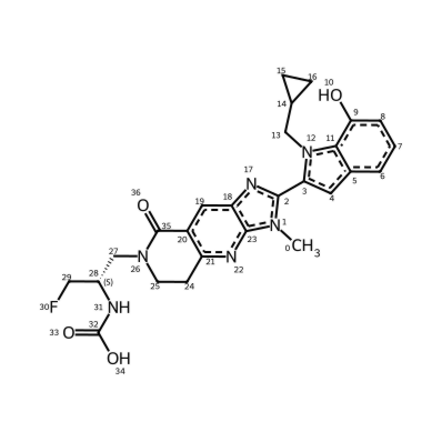 Cn1c(-c2cc3cccc(O)c3n2CC2CC2)nc2cc3c(nc21)CCN(C[C@@H](CF)NC(=O)O)C3=O